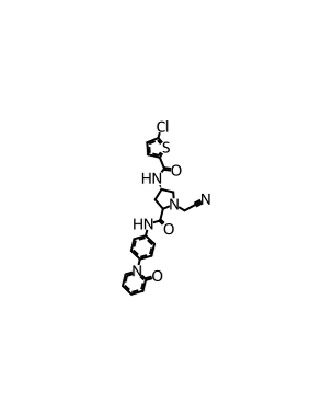 N#CCN1C[C@@H](NC(=O)c2ccc(Cl)s2)CC1C(=O)Nc1ccc(-n2ccccc2=O)cc1